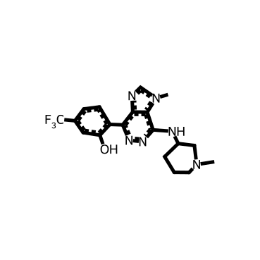 CN1CCCC(Nc2nnc(-c3ccc(C(F)(F)F)cc3O)c3ncn(C)c23)C1